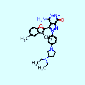 CCN(CC)C1CCN(c2ccc(-n3nc4c(=O)[nH]nc(N)c4c3-c3oc4ccc(C)cc4c3C)cc2)C1